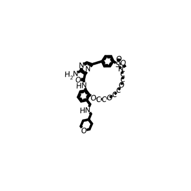 CN1CCOCCOCCOc2c(CNCC3CCOCC3)cccc2NC(=O)c2nc(cnc2N)-c2ccc(cc2)S1(=O)=O